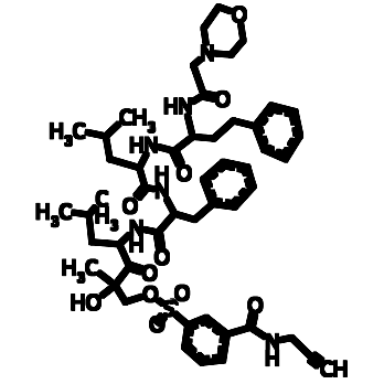 C#CCNC(=O)c1cccc(S(=O)(=O)OCC(C)(O)C(=O)C(CC(C)C)NC(=O)C(Cc2ccccc2)NC(=O)C(CC(C)C)NC(=O)C(CCc2ccccc2)NC(=O)CN2CCOCC2)c1